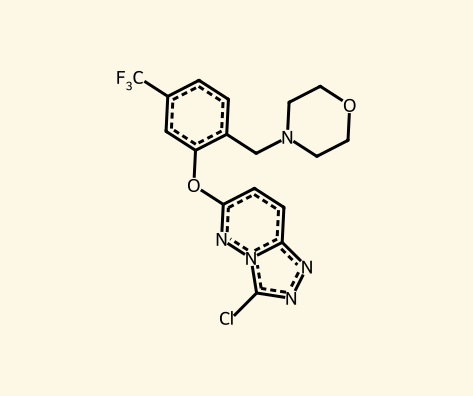 FC(F)(F)c1ccc(CN2CCOCC2)c(Oc2ccc3nnc(Cl)n3n2)c1